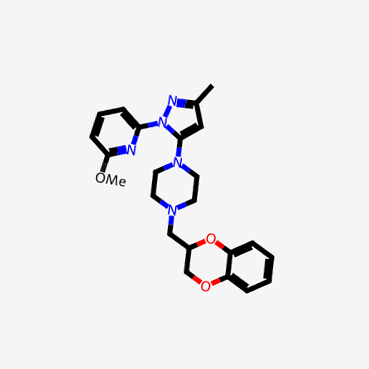 COc1cccc(-n2nc(C)cc2N2CCN(CC3COc4ccccc4O3)CC2)n1